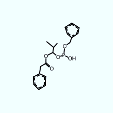 CC(C)C(OC(=O)Cc1ccccc1)OP(O)OCc1ccccc1